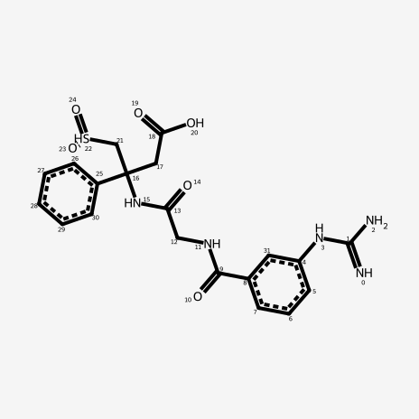 N=C(N)Nc1cccc(C(=O)NCC(=O)NC(CC(=O)O)(C[SH](=O)=O)c2ccccc2)c1